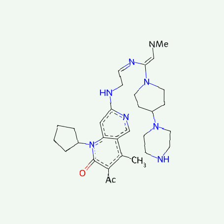 CN/C=C(\N=C/CNc1cc2c(cn1)c(C)c(C(C)=O)c(=O)n2C1CCCC1)N1CCC(N2CCNCC2)CC1